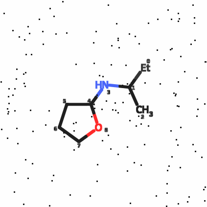 CCC(C)N[C]1CCCO1